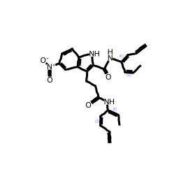 C=C/C=C\C(=C/C)NC(=O)CCc1c(C(=O)NC(/C=C\C)=C/C=C)[nH]c2ccc([N+](=O)[O-])cc12